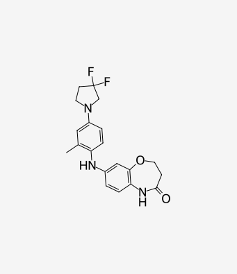 Cc1cc(N2CCC(F)(F)C2)ccc1Nc1ccc2c(c1)OCCC(=O)N2